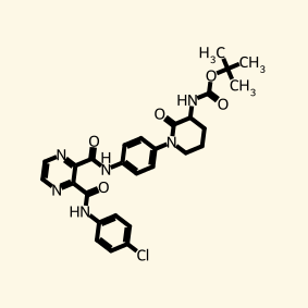 CC(C)(C)OC(=O)NC1CCCN(c2ccc(NC(=O)c3nccnc3C(=O)Nc3ccc(Cl)cc3)cc2)C1=O